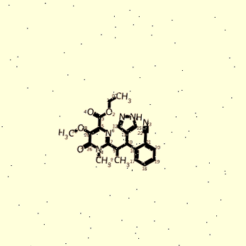 CCOC(=O)c1nc(C(C)C(c2cn[nH]c2)c2ccccc2C#N)n(C)c(=O)c1OC